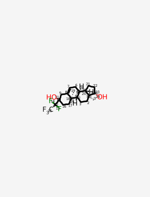 C[C@]12CC[C@H]3[C@@H](CC=C4C[C@](O)(C(F)(F)C(F)(F)F)CC[C@@]43C)[C@@H]1CC[C@@H]2O